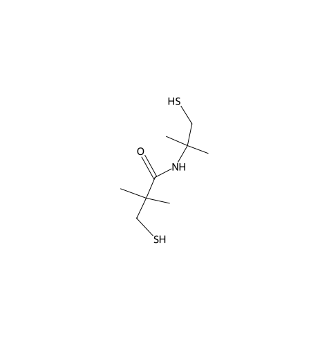 CC(C)(CS)NC(=O)C(C)(C)CS